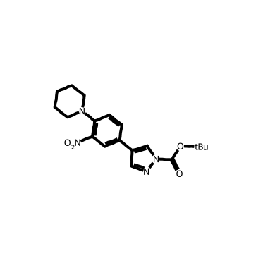 CC(C)(C)OC(=O)n1cc(-c2ccc(N3CCCCC3)c([N+](=O)[O-])c2)cn1